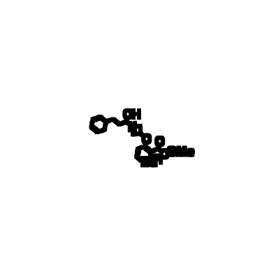 CCC/C(C(=O)OOC)=C(\C=C/C(C)CC)OC1CN(C(O)CCC2C=CC=CC2)C1